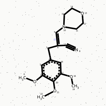 COc1cc(C/C(C#N)=C/N2CCOCC2)cc(OC)c1OC